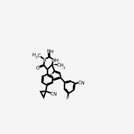 CN1C(=N)N[C@](C)(c2cc(-c3cc(F)cc(C#N)c3)cs2)C(c2ccc(C3(C#N)CC3)cc2)C1=O